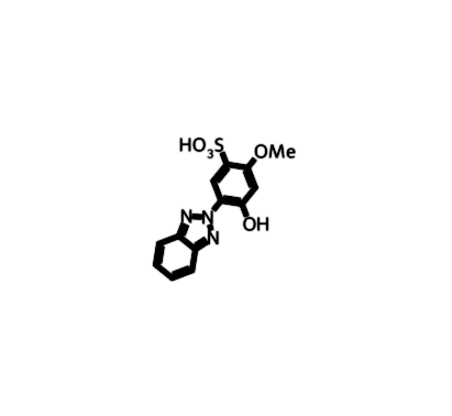 COc1cc(O)c(-n2nc3ccccc3n2)cc1S(=O)(=O)O